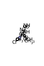 CC(C)(C)OC1C[C@@H](C(=O)N[C@H](C#N)C[C@@H]2CCNC2=O)N(C(=O)/C=C/c2ccc(Cl)cc2F)C1